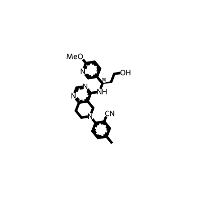 COc1ccc([C@@H](CCO)Nc2ncnc3c2CN(c2ccc(C)cc2C#N)CC3)cn1